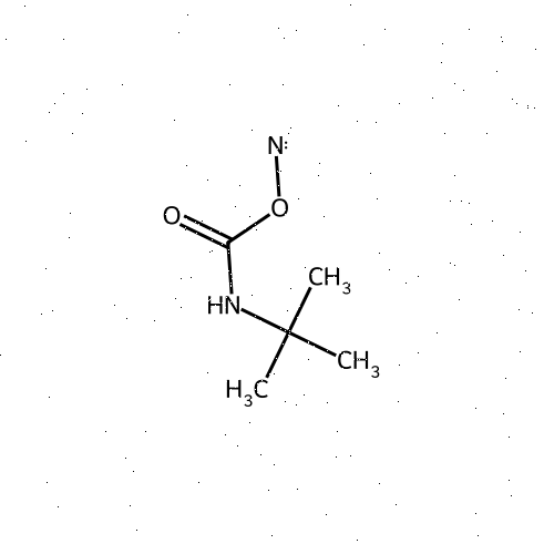 CC(C)(C)NC(=O)O[N]